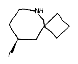 I[C@H]1CCNC2(CCC2)C1